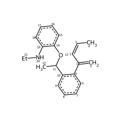 C=C(/C=C\C)c1ccccc1C(C)Oc1ccccc1NCC